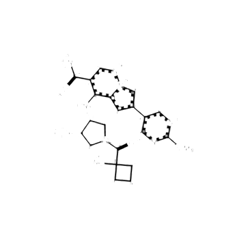 COc1ncc(-c2cc3c(N[C@@H]4CN(C(=O)C5(C#N)CCC5)C[C@@H]4C)c(C(N)=O)cnn3c2)cn1